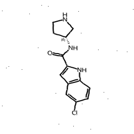 O=C(N[C@@H]1CCNC1)c1cc2cc(Cl)ccc2[nH]1